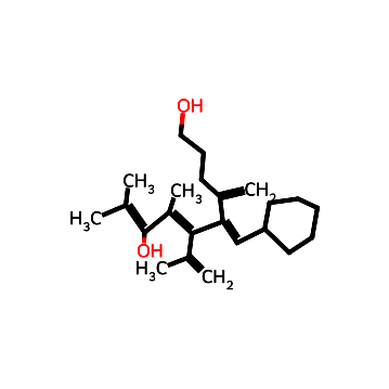 C=C(CCCO)C(=C\C1CCCCC1)/C(C(=C)C)=C(\C)C(O)=C(C)C